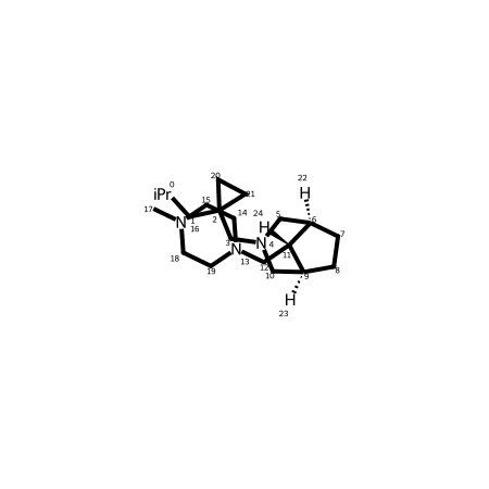 CC(C)CC1(CN2C[C@H]3CC[C@@H](C2)[C@@H]3CN2CCN(C)CC2)CC1